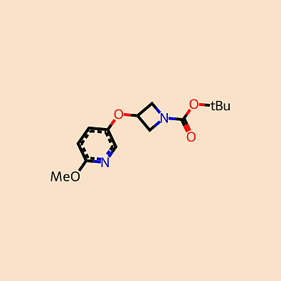 COc1ccc(OC2CN(C(=O)OC(C)(C)C)C2)cn1